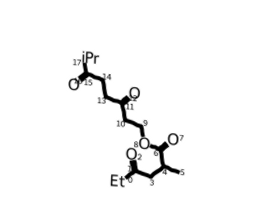 CCC(=O)CC(C)C(=O)OCCC(=O)CCC(=O)C(C)C